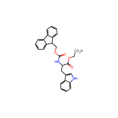 O=C(O)COC(=O)C(Cc1c[nH]c2ccccc12)NC(=O)OCC1c2ccccc2-c2ccccc21